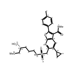 CNC(=O)c1c(-c2ccc(C)cc2)oc2nc(CS(=O)(=O)NCCC[C@H](COC)C(=O)O)c(C3CC3)cc12